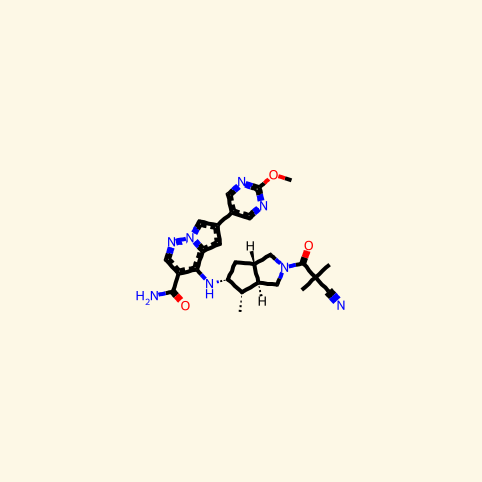 COc1ncc(-c2cc3c(N[C@@H]4C[C@@H]5CN(C(=O)C(C)(C)C#N)C[C@H]5[C@@H]4C)c(C(N)=O)cnn3c2)cn1